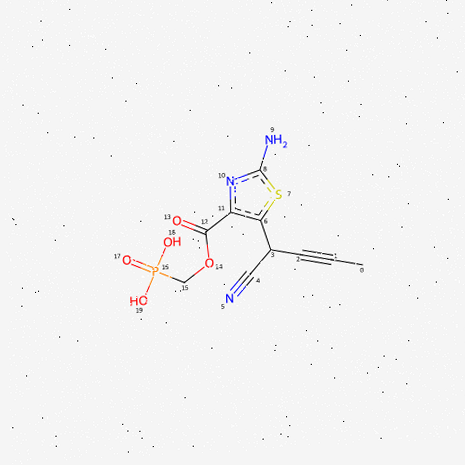 CC#CC(C#N)c1sc(N)nc1C(=O)OCP(=O)(O)O